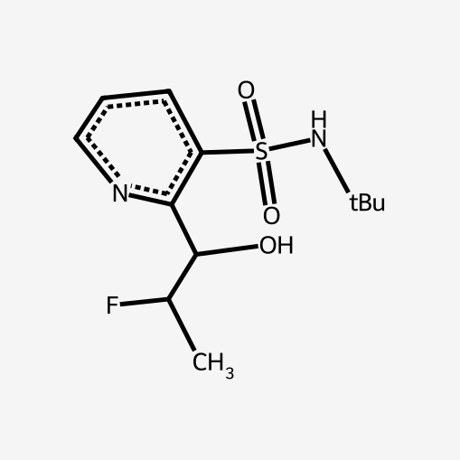 CC(F)C(O)c1ncccc1S(=O)(=O)NC(C)(C)C